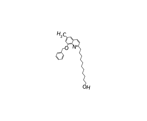 Cc1cc(OCc2ccccc2)c2nc(CCCCCCCCCCCO)ccc2c1